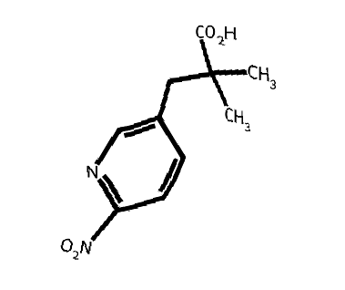 CC(C)(Cc1ccc([N+](=O)[O-])nc1)C(=O)O